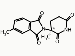 Cc1ccc2c(c1)C(=O)N([C@@]1(C)CCC(=O)NC1=O)C2=O